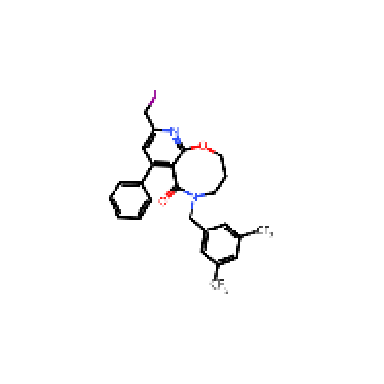 O=C1c2c(-c3ccccc3)cc(CI)nc2OCCCN1Cc1cc(C(F)(F)F)cc(C(F)(F)F)c1